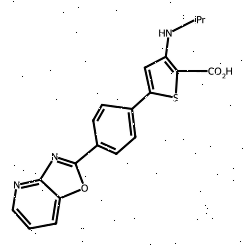 CC(C)Nc1cc(-c2ccc(-c3nc4ncccc4o3)cc2)sc1C(=O)O